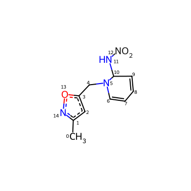 Cc1cc(CN2C=CC=CC2N[N+](=O)[O-])on1